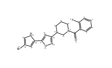 O=C(c1ccncc1F)N1CCCC(c2noc(-c3cc(Br)c[nH]3)n2)C1